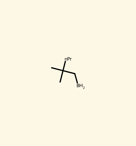 BCC(C)(C)CCC